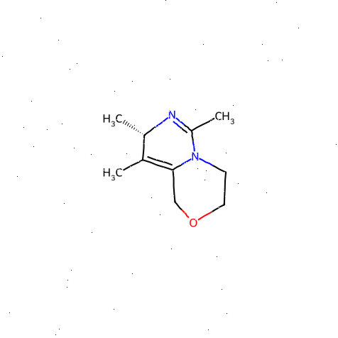 CC1=N[C@@H](C)C(C)=C2COCCN12